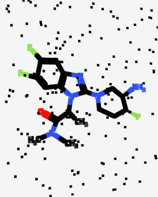 CC(C(=O)N(C)C)n1c(N2CC[C@@H](F)[C@H](N)C2)nc2cc(F)c(F)cc21